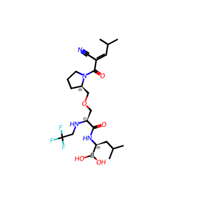 CC(C)C=C(C#N)C(=O)N1CCC[C@@H]1COC[C@H](NCC(F)(F)F)C(=O)N[C@@H](CC(C)C)B(O)O